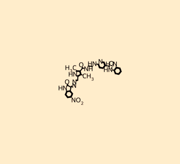 Cc1[nH]c(C=NN=C2C(=O)Nc3ccc([N+](=O)[O-])cc32)c(C)c1C(=O)NCCNc1ccc(C(=O)Nc2ccccc2N)cn1